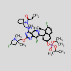 C#Cc1c(F)ccc2cc(OP(=O)(OC(C)C)OC(C)C)cc(-c3ncc4c(NCC5(N(C)C(=O)C=C)CCCC5)nc(OC[C@]5(C)C[C@@H](F)CN5C)nc4c3F)c12